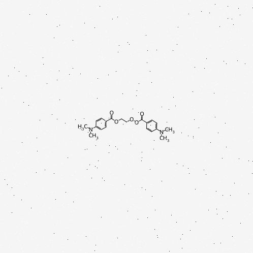 CN(C)c1ccc(C(=O)OCCOOC(=O)c2ccc(N(C)C)cc2)cc1